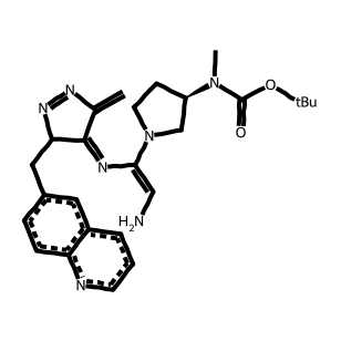 C=C1N=NC(Cc2ccc3ncccc3c2)/C1=N/C(=C\N)N1CC[C@@H](N(C)C(=O)OC(C)(C)C)C1